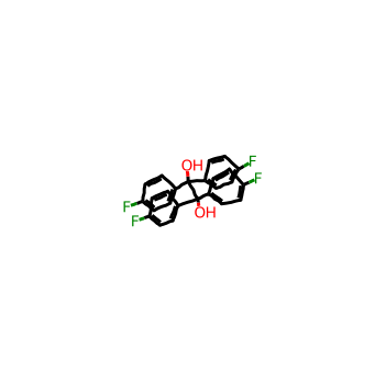 OC(c1ccc(F)cc1)(c1ccc(F)cc1)C(O)(c1ccc(F)cc1)c1ccc(F)cc1